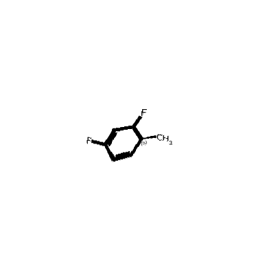 C[C@H]1C=CC(F)=CC1F